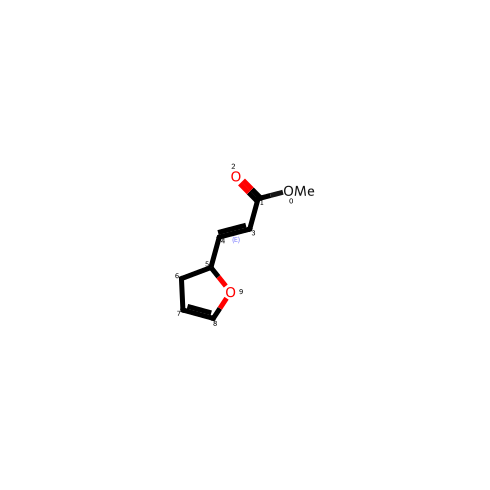 COC(=O)/C=C/C1CC=CO1